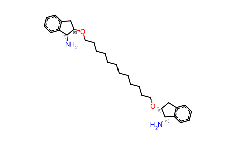 N[C@H]1c2ccccc2C[C@H]1OCCCCCCCCCCCCO[C@@H]1Cc2ccccc2[C@@H]1N